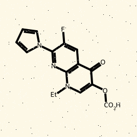 CCn1cc(OC(=O)O)c(=O)c2cc(F)c(-n3cccc3)nc21